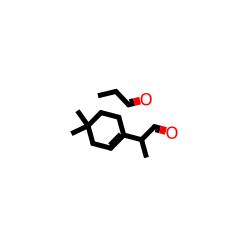 CC(C=O)C1=CCC(C)(C)CC1.CCC=O